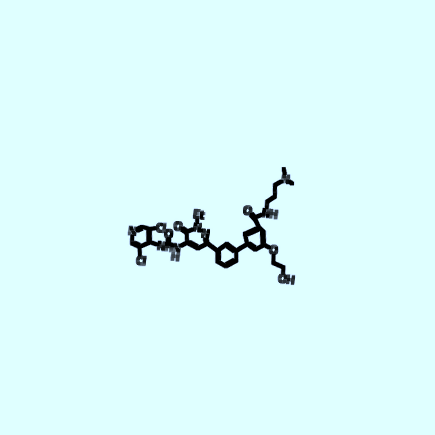 CCn1nc(-c2cccc(-c3cc(OCCO)cc(C(=O)NCCCN(C)C)c3)c2)cc(NC(=O)Nc2c(Cl)cncc2Cl)c1=O